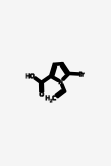 C=Cn1c(Br)ccc1C(=O)O